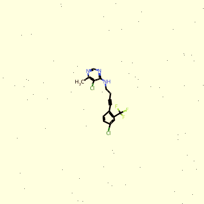 Cc1ncnc(NCCC#Cc2ccc(Cl)cc2C(F)(F)F)c1Cl